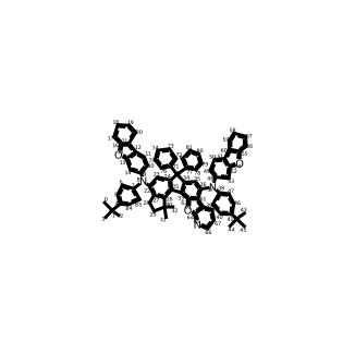 CC(C)(C)c1ccc(N(c2ccc3c(c2)oc2ccccc23)c2cc3c(c4c2CCC4(C)C)-c2c(cc(N(c4ccc(C(C)(C)C)cc4)c4ccc5c(c4)oc4ccccc45)c4c2oc2ncccc24)C3(c2ccccc2)c2ccccc2)cc1